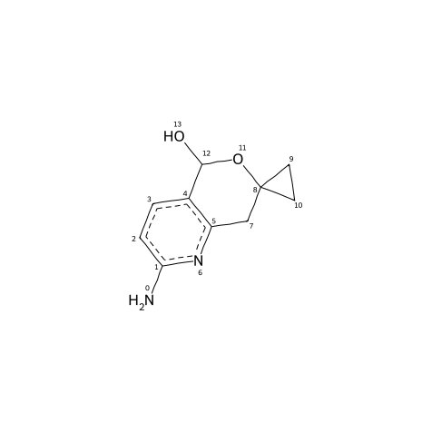 Nc1ccc2c(n1)CC1(CC1)OC2O